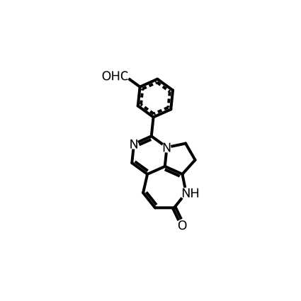 O=Cc1cccc(C2=NC=C3C=CC(=O)NC4=C3N2CC4)c1